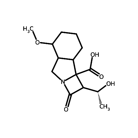 COC1CCCC2C1CN1C(=O)C([C@@H](C)O)C21C(=O)O